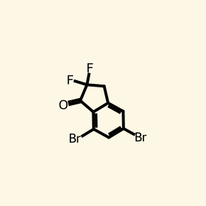 O=C1c2c(Br)cc(Br)cc2CC1(F)F